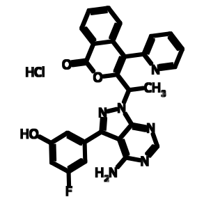 CC(c1oc(=O)c2ccccc2c1-c1ccccn1)n1nc(-c2cc(O)cc(F)c2)c2c(N)ncnc21.Cl